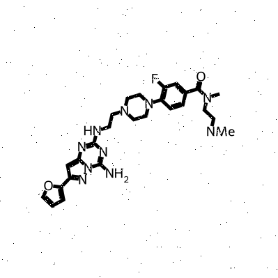 CNCCN(C)C(=O)c1ccc(N2CCN(CCNc3nc(N)n4nc(-c5ccco5)cc4n3)CC2)c(F)c1